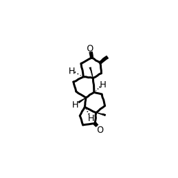 C=C1C[C@@]2(C)[C@@H](CC[C@@H]3[C@@H]2CC[C@]2(C)C(=O)CC[C@@H]32)CC1=O